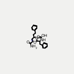 NC(=O)/C=C/C(CCc1ccccc1)NC(=O)C(Cc1ccccc1)NC(=O)O